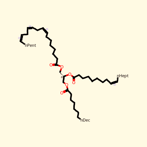 CCCCC/C=C\C/C=C\C/C=C\CCCCCCC(=O)OC[C@@H](COC(=O)CCCCCCCCCCCCCCCC)OC(=O)CCCCCCC/C=C\CCCCCCC